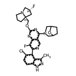 Cc1n[nH]c2ccc(Cl)c(-c3ncc4c(N5CC6CCC(C5)O6)nc(OC[C@@]56CCCN5C[C@H](F)C6)nc4c3F)c12